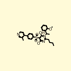 CCCCc1nc(=O)c(S(=O)(=O)c2ccc(-c3ccncc3C)cc2)c(O)n1C(C)c1ccccc1OC